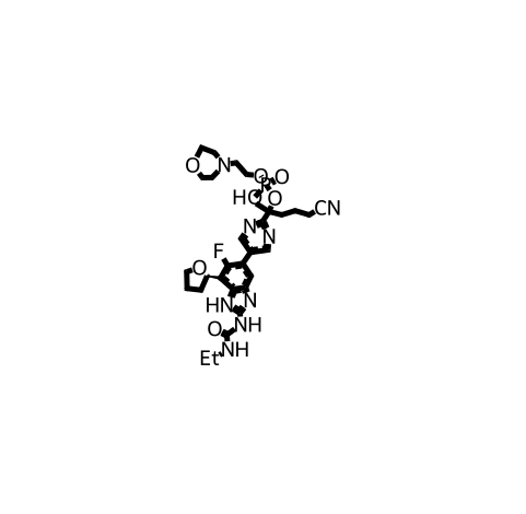 CCNC(=O)Nc1nc2cc(-c3cnc(C(C)(CCCC#N)OP(=O)(O)OCCN4CCOCC4)nc3)c(F)c([C@H]3CCCO3)c2[nH]1